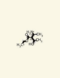 CCOC(=O)[C@@H]([C@H](C)N)[C@@H](C)O